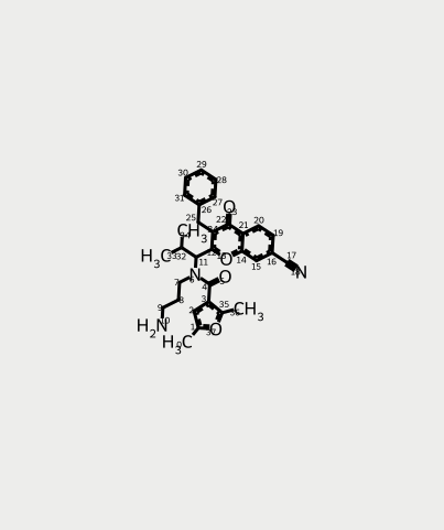 Cc1cc(C(=O)N(CCCN)C(c2oc3cc(C#N)ccc3c(=O)c2Cc2ccccc2)C(C)C)c(C)o1